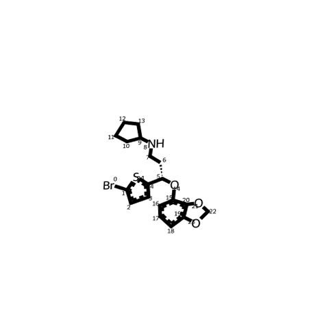 Brc1ccc([C@H](CCNC2CCCC2)Oc2cccc3c2OCO3)s1